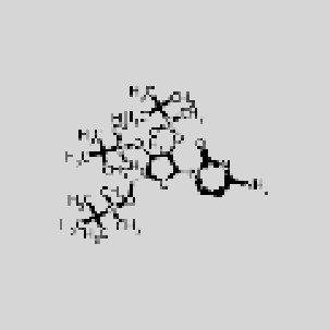 CC(C)(C)[Si](C)(C)OC[C@H]1O[C@@H](n2ccc(N)nc2=O)[C@H](O[Si](C)(C)C(C)(C)C)[C@@H]1O[Si](C)(C)C(C)(C)C